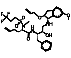 C=CCC[C@@H](C(=O)N[C@@H](Cc1ccccc1)[C@H](O)CN[C@@H]1c2cc(OC)ccc2C[C@@H]1OCC=C)N(C)S(=O)(=O)CCC(F)(F)F